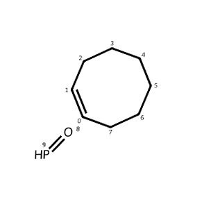 C1=CCCCCCC1.O=P